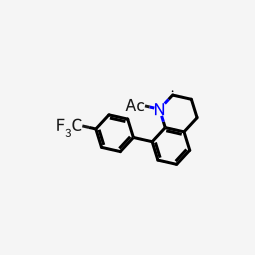 CC(=O)N1[CH]CCc2cccc(-c3ccc(C(F)(F)F)cc3)c21